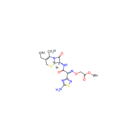 CC(=O)OCC1=C(C(=O)O)N2C(=O)[C@@H](NC(=O)C(=NOCC(=O)OC(C)(C)C)c3nsc(N)n3)[C@H]2SC1